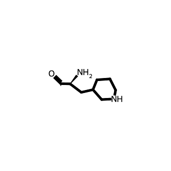 N[C@H]([C]=O)CC1CCCNC1